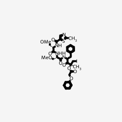 COC[C@H](NC(=O)c1cnc(C)s1)C(=O)N[C@@H](COC)C(=O)NC(Cc1ccccc1)C(=O)[C@@](C)(CI)OC(=O)COc1ccccc1